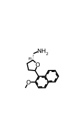 COc1ccc2ccccc2c1C1CC[C@H](CN)O1